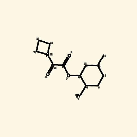 CC1CCC(C(C)C)C(OC(=O)C(=O)N2CCC2)C1